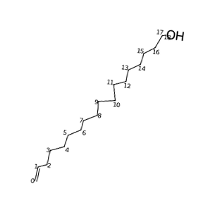 C=CCCCCCCCCCCCCCCCCO